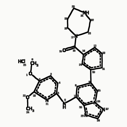 COc1ccc(Nc2cc(-c3cccc(C(=O)N4CCCNCC4)c3)cn3ncnc23)nc1OC.Cl